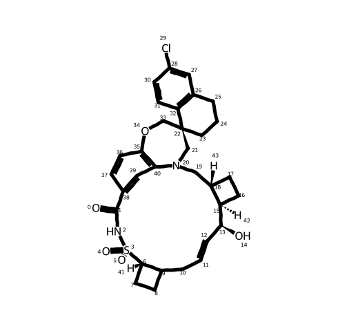 O=C1NS(=O)(=O)[C@H]2CCC2C/C=C/[C@H](O)[C@@H]2CC[C@H]2CN2C[C@@]3(CCCc4cc(Cl)ccc43)COc3ccc1cc32